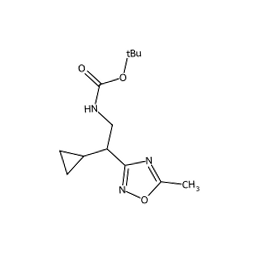 Cc1nc(C(CNC(=O)OC(C)(C)C)C2CC2)no1